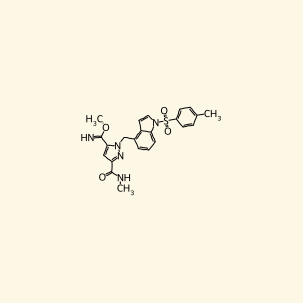 CNC(=O)c1cc(C(=N)OC)n(Cc2cccc3c2ccn3S(=O)(=O)c2ccc(C)cc2)n1